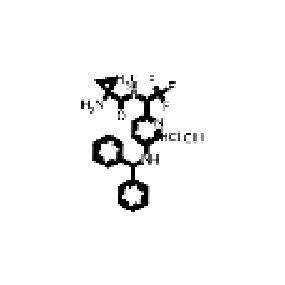 CN(C(=O)C1(N)CC1)C(c1ccc(NC(c2ccccc2)c2ccccc2)cn1)C(F)(F)F.Cl.Cl